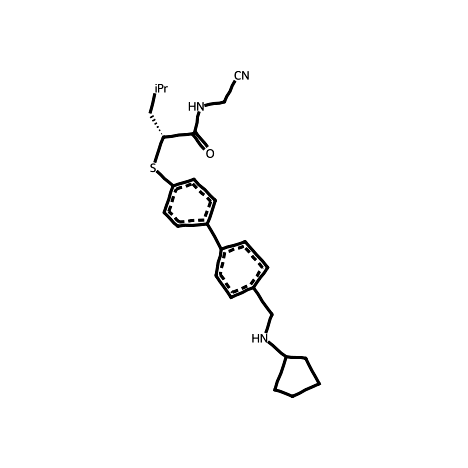 CC(C)C[C@@H](Sc1ccc(-c2ccc(CNC3CCCC3)cc2)cc1)C(=O)NCC#N